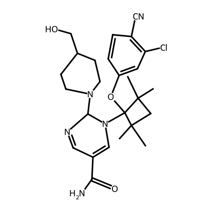 CC1(C)CC(C)(C)C1(Oc1ccc(C#N)c(Cl)c1)N1C=C(C(N)=O)C=NC1N1CCC(CO)CC1